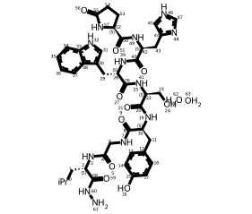 CC(C)C[C@H](NC(=O)CNC(=O)[C@H](Cc1ccc(O)cc1)NC(=O)[C@H](CO)NC(=O)[C@H](Cc1c[nH]c2ccccc12)NC(=O)[C@H](Cc1c[nH]cn1)NC(=O)[C@@H]1CCC(=O)N1)C(=O)NN.O.O